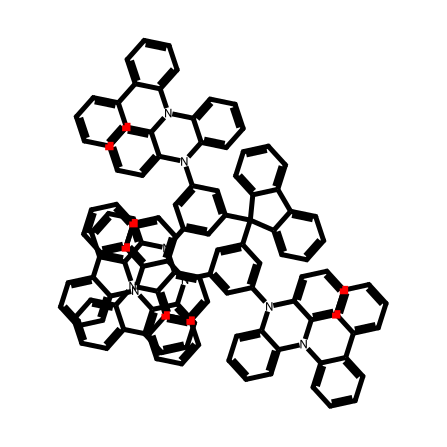 c1ccc(-c2ccccc2N2c3ccccc3N(c3cc(N4c5ccccc5N(c5ccccc5-c5ccccc5)c5ccccc54)cc(C4(c5cc(N6c7ccccc7N(c7ccccc7-c7ccccc7)c7ccccc76)cc(N6c7ccccc7N(c7ccccc7-c7ccccc7)c7ccccc76)c5)c5ccccc5-c5ccccc54)c3)c3ccccc32)cc1